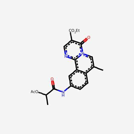 CCOC(=O)c1cnc2c3cc(NC(=O)C(C)OC(C)=O)ccc3c(C)cn2c1=O